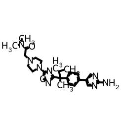 CC(C)C(C)(c1ccc(-c2cnc(N)nc2)cc1)c1noc(N2CCN(CC(=O)N(C)C)CC2)n1